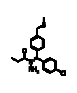 CCC(=O)[N+](N)=C(c1ccc(Cl)cc1)c1ccc(CSC)cc1